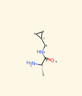 C[C@H](N)C(=O)NCC1CC1